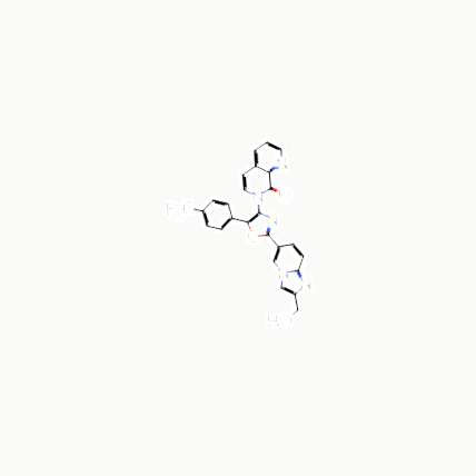 O=c1c2ncccc2ccn1-c1nc(-c2ccc3nc(CO)cn3c2)oc1-c1ccc(C(F)(F)F)cc1